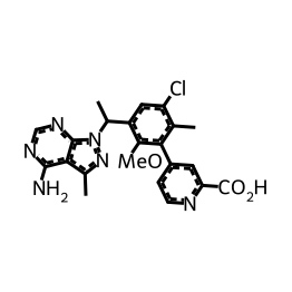 COc1c(C(C)n2nc(C)c3c(N)ncnc32)cc(Cl)c(C)c1-c1ccnc(C(=O)O)c1